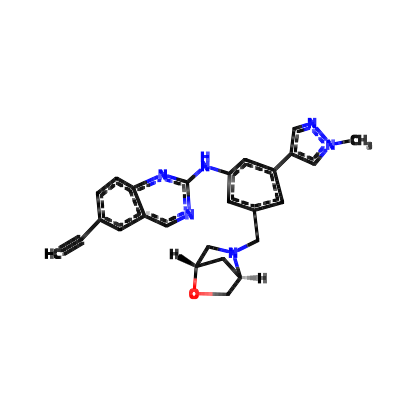 C#Cc1ccc2nc(Nc3cc(CN4C[C@@H]5C[C@@H]4CO5)cc(-c4cnn(C)c4)c3)ncc2c1